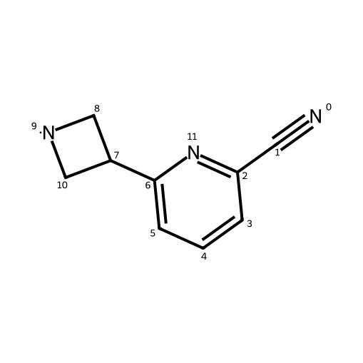 N#Cc1cccc(C2C[N]C2)n1